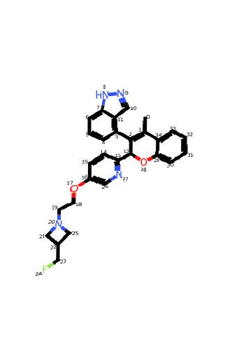 CC1=C(c2cccc3[nH]ncc23)C(c2ccc(OCCN3CC(CF)C3)cn2)Oc2ccccc21